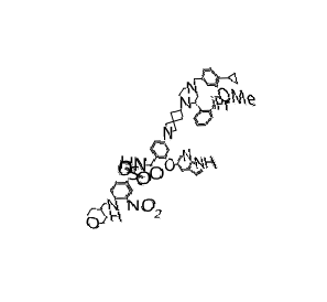 COc1cc(CN2CCN(C3CC4(C3)CN(c3ccc(C(=O)NS(=O)(=O)c5ccc(NCC6CCOCC6)c([N+](=O)[O-])c5)c(Oc5cnc6[nH]ccc6c5)c3)C4)[C@H](c3ccccc3C(C)C)C2)ccc1C1CC1